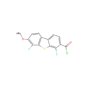 CCCCOc1ccc2c(sc3c(F)c(C(=O)Cl)ccc32)c1F